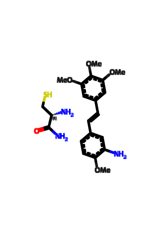 COc1ccc(C=Cc2cc(OC)c(OC)c(OC)c2)cc1N.NC(=O)[C@@H](N)CS